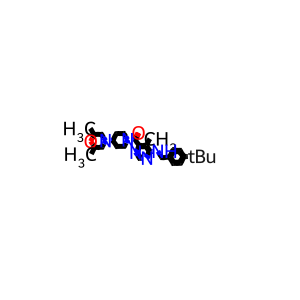 Cc1c(NCc2ccc(C(C)(C)C)cc2)ncnc1C(=O)N1CCC(N2CC(C)OC(C)C2)CC1